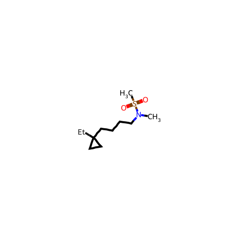 CCC1(CCCCN(C)S(C)(=O)=O)CC1